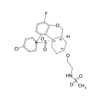 CS(=O)(=O)NCCO[C@@H]1CC[C@@]2(S(=O)(=O)c3ccc(Cl)cc3)c3c(F)ccc(F)c3OC[C@H]2C1